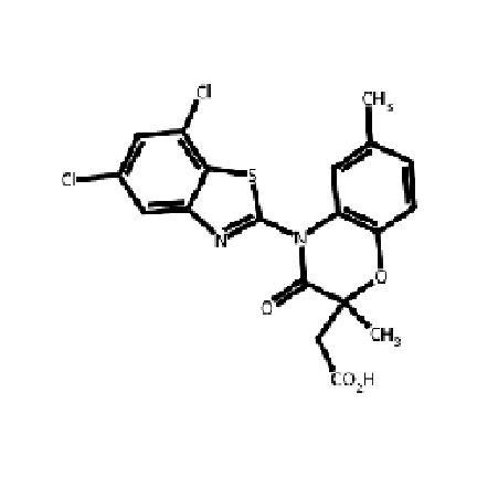 Cc1ccc2c(c1)N(c1nc3cc(Cl)cc(Cl)c3s1)C(=O)C(C)(CC(=O)O)O2